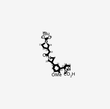 COc1ccc(C2CN(C(=O)CC3CCN(C(=O)OC(C)(C)C)C3)C2)cc1-c1ccnn1C(=O)O